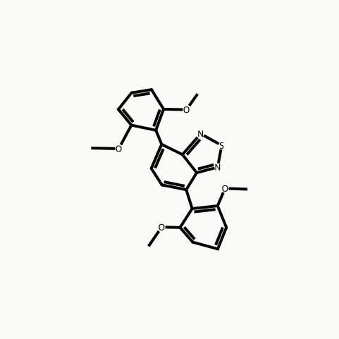 COc1cccc(OC)c1-c1ccc(-c2c(OC)cccc2OC)c2nsnc12